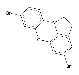 Brc1ccc2c(c1)Oc1cc(Br)cc3c1N2CC3